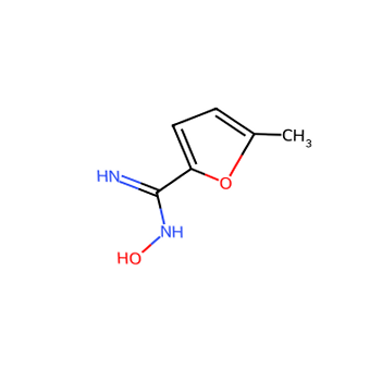 Cc1ccc(C(=N)NO)o1